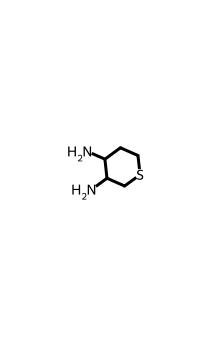 NC1CCSCC1N